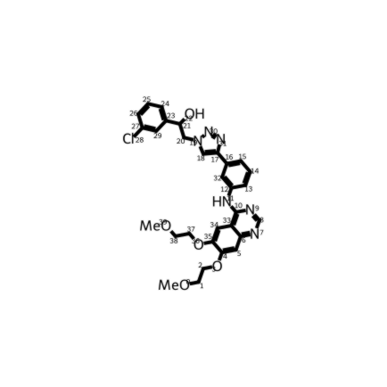 COCCOc1cc2ncnc(Nc3cccc(-c4cn(CC(O)c5cccc(Cl)c5)nn4)c3)c2cc1OCCOC